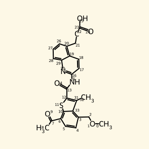 COCc1ccc(C(C)=O)c2sc(C(=O)Nc3ccc4c(CCC(=O)O)cccc4n3)c(C)c12